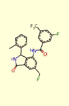 Cc1ccccc1C1NC(=O)c2cc(CF)cc(NC(=O)c3cc(F)cc(C(F)(F)F)c3)c21